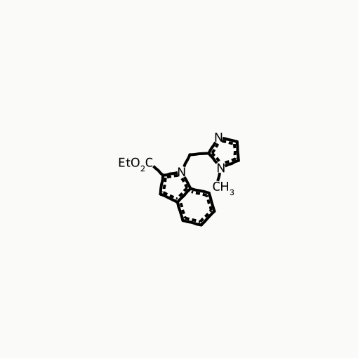 CCOC(=O)c1cc2ccccc2n1Cc1nccn1C